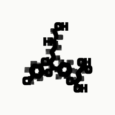 O=C(O)C=CC(=O)O.OCCNCCCCC(Oc1cc(Cl)ccc1Cl)c1ccccc1